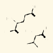 CC(C)[C@H](N)C(=O)O.NC(=O)CC[C@H](N)C(=O)O